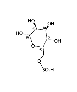 O=S(=O)(O)OC[C@H]1O[C@H](O)[C@@H](O)[C@@H](O)[C@@H]1O